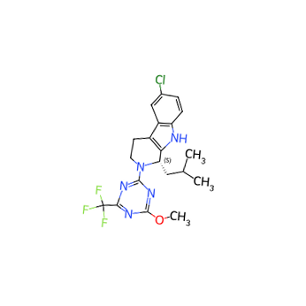 COc1nc(N2CCc3c([nH]c4ccc(Cl)cc34)[C@@H]2CC(C)C)nc(C(F)(F)F)n1